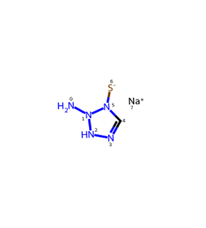 NN1NN=CN1[S-].[Na+]